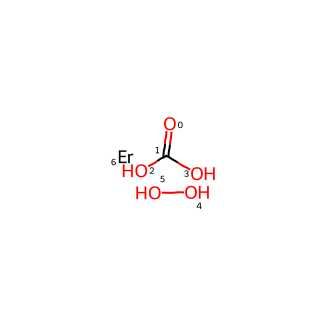 O=C(O)O.OO.[Er]